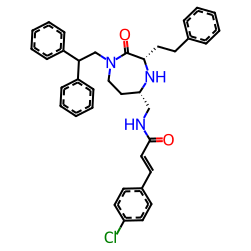 O=C(/C=C/c1ccc(Cl)cc1)NC[C@@H]1CCN(CC(c2ccccc2)c2ccccc2)C(=O)[C@H](CCc2ccccc2)N1